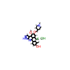 COc1c(OCC2CCN(C)CC2)cc(CF)c2c(-c3ccc(O)c(C)c3)nc3[nH]ncc3c12.Cl